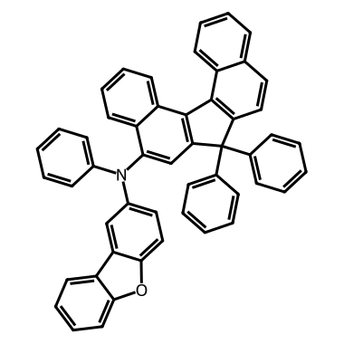 c1ccc(N(c2ccc3oc4ccccc4c3c2)c2cc3c(c4ccccc24)-c2c(ccc4ccccc24)C3(c2ccccc2)c2ccccc2)cc1